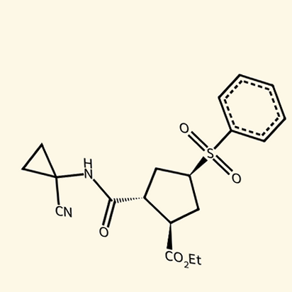 CCOC(=O)[C@@H]1C[C@H](S(=O)(=O)c2ccccc2)C[C@H]1C(=O)NC1(C#N)CC1